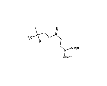 CCCCCCCN(CCCCCCC)CCC(=O)OCC(F)(F)C(F)(F)F